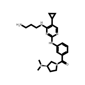 CN(C)[C@@H]1CCN(C(=O)c2cccc(Nc3ncc(C4CC4)c(NCCCN)n3)c2)C1